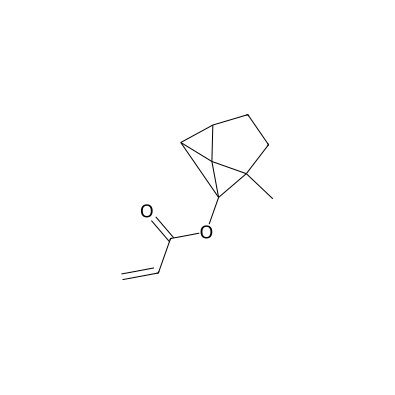 C=CC(=O)OC12C3C4CCC1(C)C432